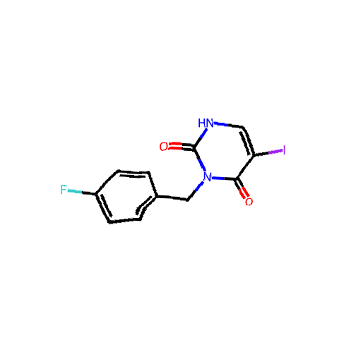 O=c1[nH]cc(I)c(=O)n1Cc1ccc(F)cc1